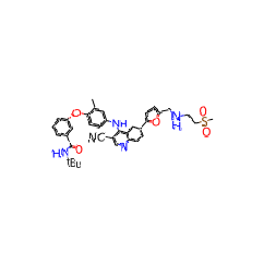 Cc1cc(Nc2c(C#N)cnc3ccc(-c4ccc(CNCCS(C)(=O)=O)o4)cc23)ccc1Oc1cccc(C(=O)NC(C)(C)C)c1